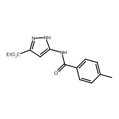 CCOC(=O)c1cc(NC(=O)c2ccc(C)cc2)[nH]n1